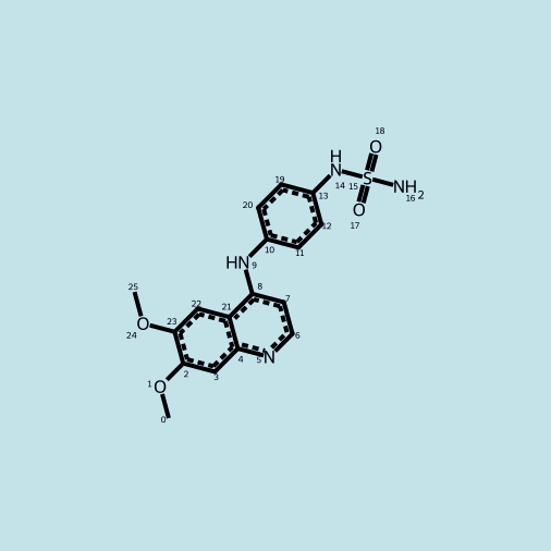 COc1cc2nccc(Nc3ccc(NS(N)(=O)=O)cc3)c2cc1OC